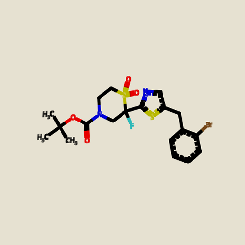 CC(C)(C)OC(=O)N1CCS(=O)(=O)C(F)(c2ncc(Cc3ccccc3Br)s2)C1